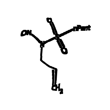 C=CCN(N=O)S(=O)(=O)CCCCC